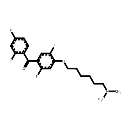 CN(C)CCCCCCOc1cc(F)c(C(=O)c2ccc(F)cc2F)cc1F